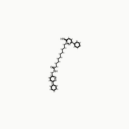 N=c1ccc(-c2ccccc2)nn1CCCCCCCCCCC(=O)NCc1ccc(-c2ccccc2)nn1